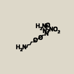 NCCCCCOCCOCCn1cc([N+](=O)[O-])c(C(N)=O)n1